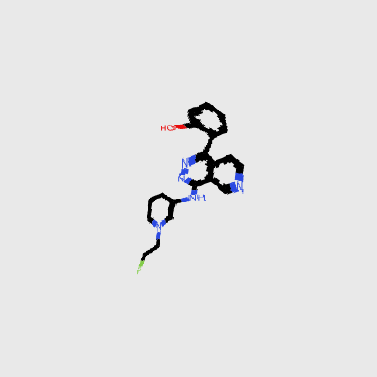 Oc1ccccc1-c1nnc(NC2CCCN(CCF)C2)c2cnccc12